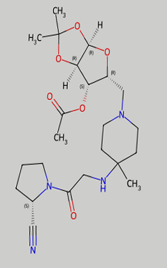 CC(=O)O[C@@H]1[C@H]2OC(C)(C)O[C@H]2O[C@@H]1CN1CCC(C)(NCC(=O)N2CCC[C@H]2C#N)CC1